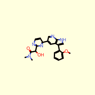 COc1ccccc1-c1c[nH]c2ncc(-c3ccnc(C(O)C(=O)N(C)C)n3)cc12